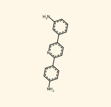 Nc1ccc(-c2ccc(-c3cccc(N)c3)cn2)cc1